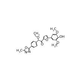 CCOC(C(=O)c1ccc(-c2cc(OC)c(O)c(OC)c2)o1)c1ccc(-c2nnc(C)o2)cc1